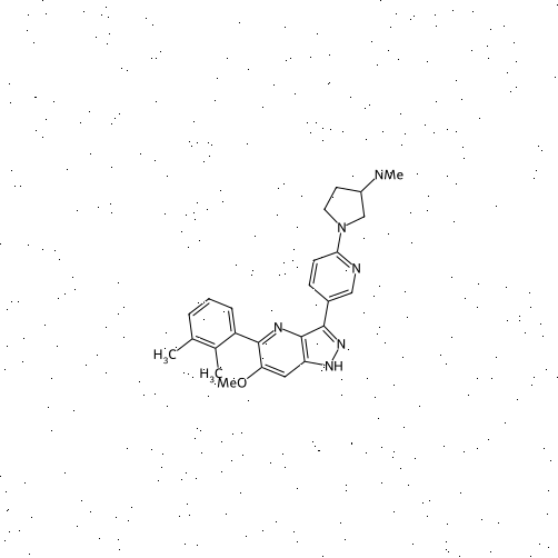 CNC1CCN(c2ccc(-c3n[nH]c4cc(OC)c(-c5cccc(C)c5C)nc34)cn2)C1